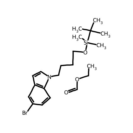 CC(C)(C)[Si](C)(C)OCCCCn1ccc2cc(Br)ccc21.CCOC=O